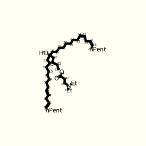 CCCCCC=CCC=CCCCCCCCCC(O)(CCCCCCCC/C=C\C/C=C\CCCCC)CCCCOC(=O)CCN(CC)CC